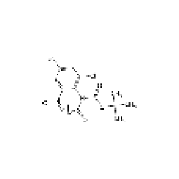 CC(C)(C)OC(=O)N(C(=O)O)c1c(Cl)cc(Br)cc1[N+](=O)[O-]